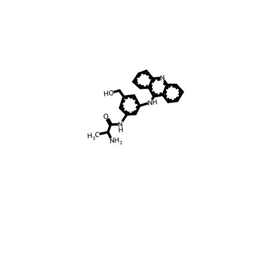 CC(N)C(=O)Nc1cc(CO)cc(Nc2c3ccccc3nc3ccccc23)c1